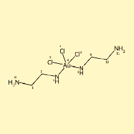 NCC[NH][Au]([Cl])([Cl])([Cl])[NH]CCN